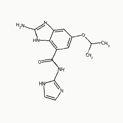 CC(C)Oc1cc(C(=O)Nc2ncc[nH]2)c2[nH]c(N)nc2c1